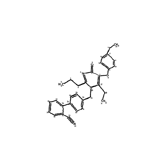 CCCc1nc(=O)c(Oc2ccc(CC)cc2)c(CC)n1Cc1ccc(-c2ccccc2C#N)cc1